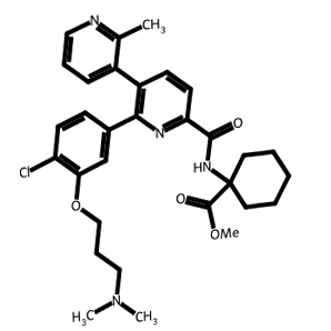 COC(=O)C1(NC(=O)c2ccc(-c3cccnc3C)c(-c3ccc(Cl)c(OCCCN(C)C)c3)n2)CCCCC1